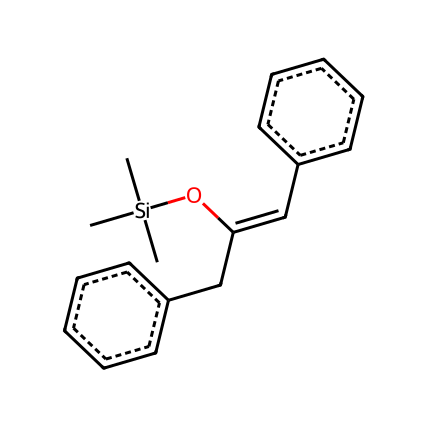 C[Si](C)(C)OC(=Cc1ccccc1)Cc1ccccc1